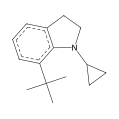 CC(C)(C)c1cccc2c1N(C1CC1)CC2